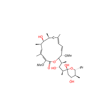 CO/C1=C\C(C)=C\[C@@H](C)[C@@H](O)[C@@H](C)C/C(C)=C/C=C/[C@H](OC)C([C@@H](C)[C@@H](O)[C@H](C)[C@@]2(O)C[C@@H](O)[C@H](C)[C@@H](C(C)C)O2)OC1=O